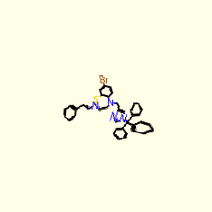 Brc1ccc2c(c1)SN(CCc1ccccc1)CCN2Cc1cn(C(c2ccccc2)(c2ccccc2)c2ccccc2)cn1